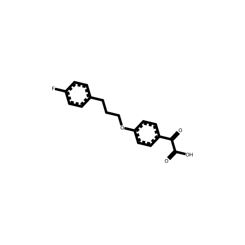 O=C(O)C(=O)c1ccc(OCCCc2ccc(F)cc2)cc1